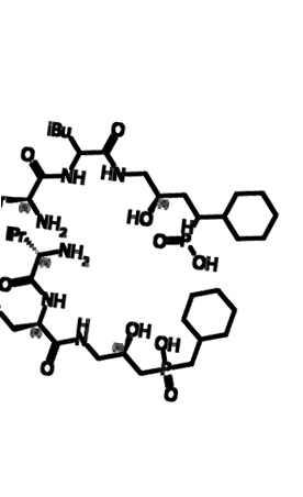 CC(C)C[C@@H](NC(=O)[C@@H](N)C(C)C)C(=O)NC[C@@H](O)CP(=O)(O)CC1CCCCC1.CCC(C)C(NC(=O)[C@@H](N)C(C)C)C(=O)NC[C@H](O)CC(C1CCCCC1)[PH](=O)O